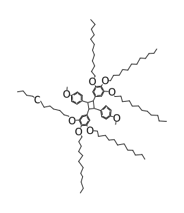 CCCCCCCCCCCCOc1cc(C2C(c3ccc(OC)cc3)C(c3cc(OCCCCCCCCCCCC)c(OCCCCCCCCCCCC)c(OCCCCCCCCCCCC)c3)C2c2ccc(OC)cc2)cc(OCCCCCCCCCCCC)c1OCCCCCCCCCCCC